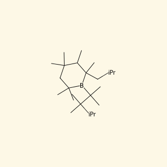 CC(C)CC1(C)B(C(C)(C)C(C)(C)C(C)C)C(C)(C)CC(C)(C)C1C